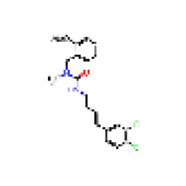 COc1ccccc1CN(C)C(=O)NCCC=Cc1ccc(Cl)c(Cl)c1